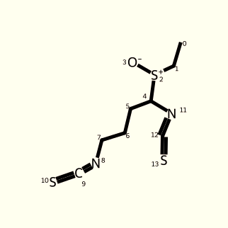 CC[S+]([O-])C(CCCN=C=S)N=C=S